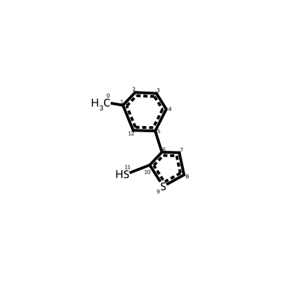 Cc1cccc(-c2ccsc2S)c1